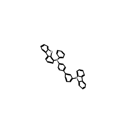 c1ccc(N(c2ccc(-c3cccc(-n4c5ccccc5c5ccccc54)c3)cc2)c2cccc3c2oc2ccccc23)cc1